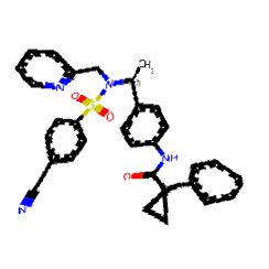 C[C@@H](c1ccc(NC(=O)C2(c3ccccc3)CC2)cc1)N(Cc1ccccn1)S(=O)(=O)c1ccc(C#N)cc1